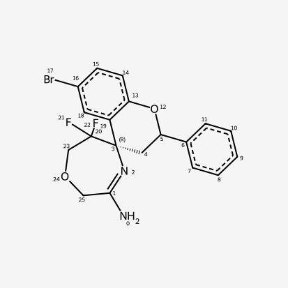 NC1=N[C@@]2(CC(c3ccccc3)Oc3ccc(Br)cc32)C(F)(F)COC1